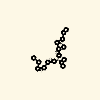 c1ccc(-c2cccc(-c3cccc4sc5ccc(-c6ccc7oc8cc(N(c9ccc%10c(c9)oc9cc(-c%11cccc%12c%13cc(-c%14ccc%15ccccc%15c%14)ccc%13n(-c%13ccccc%13)c%11%12)ccc9%10)c9cc%10ccccc%10c%10ccccc9%10)ccc8c7c6)cc5c34)c2)cc1